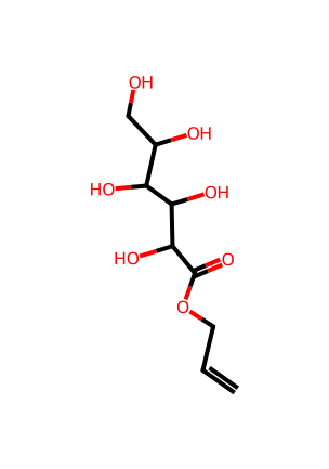 C=CCOC(=O)C(O)C(O)C(O)C(O)CO